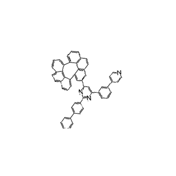 c1ccc(-c2ccc(-c3nc(-c4cccc(-c5ccncc5)c4)cc(-c4cc5ccc6cccc7c8cccc9ccc%10cccc(c(c4)c5c67)c%10c98)n3)cc2)cc1